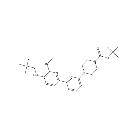 CNc1nc(-c2cccc(N3CCN(C(=O)OC(C)(C)C)CC3)c2)ccc1NCC(C)(C)C